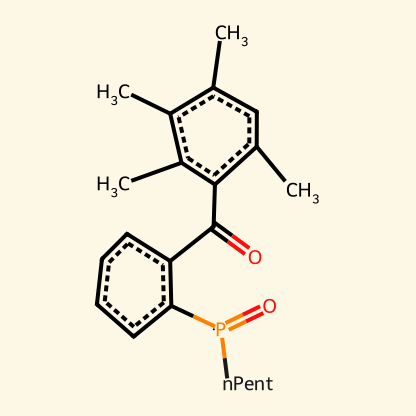 CCCCC[P](=O)c1ccccc1C(=O)c1c(C)cc(C)c(C)c1C